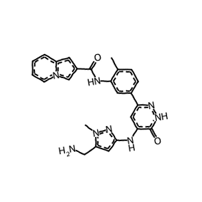 Cc1ccc(-c2cc(Nc3cc(CN)n(C)n3)c(=O)[nH]n2)cc1NC(=O)c1cc2ccccn2c1